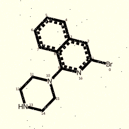 Brc1cc2ccccc2c(N2CCNCC2)n1